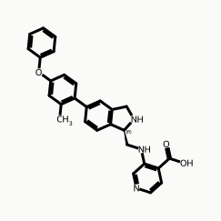 Cc1cc(Oc2ccccc2)ccc1-c1ccc2c(c1)CN[C@H]2CNc1cnccc1C(=O)O